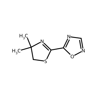 CC1(C)CSC(c2ncno2)=N1